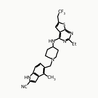 CCc1nc(NC2CCN(Cc3ccc4[nH]c(C#N)cc4c3C)CC2)c2cc(CC(F)(F)F)sc2n1